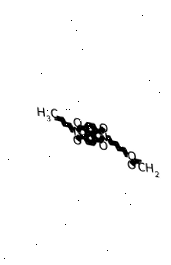 C=CC(=O)OCCCCCCN1C(=O)c2ccc3c4c(ccc(c24)C1=O)C(=O)N(CCCCCC)C3=O